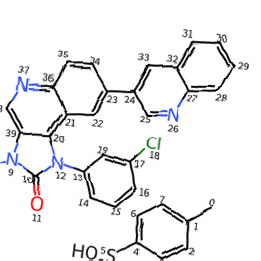 Cc1ccc(S(=O)(=O)O)cc1.Cn1c(=O)n(-c2cccc(Cl)c2)c2c3cc(-c4cnc5ccccc5c4)ccc3ncc21